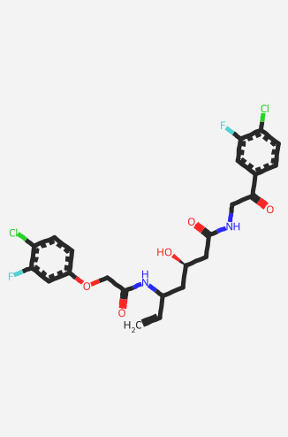 C=CC(C[C@@H](O)CC(=O)NCC(=O)c1ccc(Cl)c(F)c1)NC(=O)COc1ccc(Cl)c(F)c1